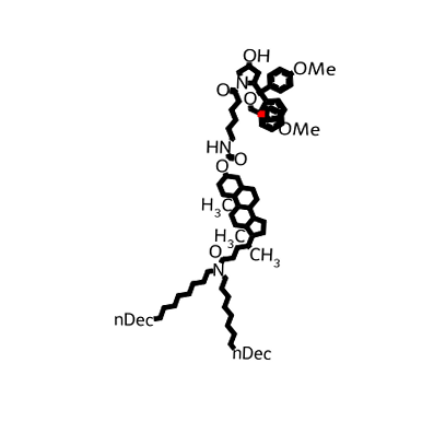 CCCCCCCCCCCCCCCCCCN(CCCCCCCCCCCCCCCCCC)C(=O)CCC(C)C1CCC2C3CCC4CC(OC(=O)NCCCCCC(=O)N5CC(O)CC5C(OCc5ccccc5)(c5ccc(OC)cc5)c5ccc(OC)cc5)CCC4(C)C3CCC12C